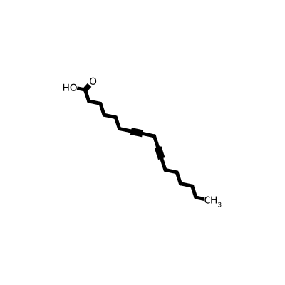 CCCCCCC#CCC#CCCCCCC(=O)O